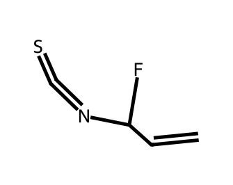 C=CC(F)N=C=S